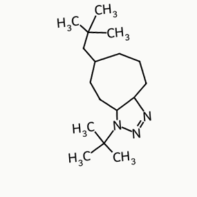 CC(C)(C)CC1CCCC2N=NN(C(C)(C)C)C2CC1